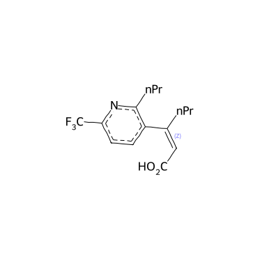 CCC/C(=C/C(=O)O)c1ccc(C(F)(F)F)nc1CCC